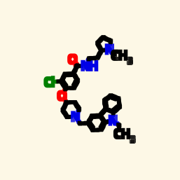 CCn1c2ccccc2c2cc(CN3CCC(Oc4ccc(C(=O)NCCC5CCCN5C)cc4Cl)CC3)ccc21